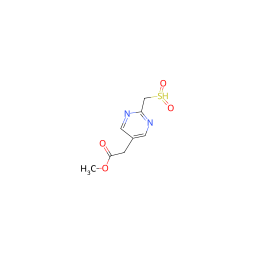 COC(=O)Cc1cnc(C[SH](=O)=O)nc1